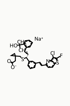 CC(C)(O)c1ccccc1CC[C@@H](SCC1(CC(=O)[O-])CC1)c1cccc(C=Cc2ccc3sc(F)c(Cl)c3n2)c1.[Na+]